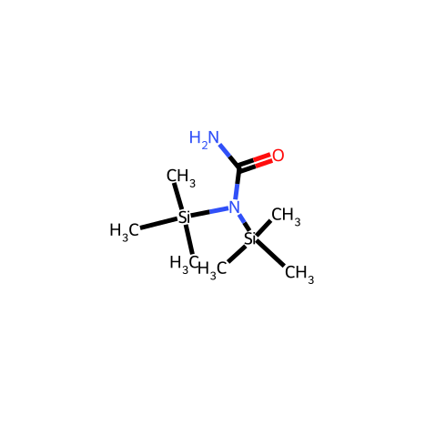 C[Si](C)(C)N(C(N)=O)[Si](C)(C)C